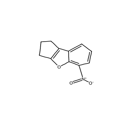 O=[N+]([O-])c1cccc2c3c(oc12)CCC3